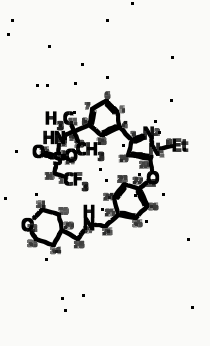 CCn1nc(-c2cccc(C(C)(C)NS(=O)(=O)CC(F)(F)F)c2)cc1Oc1ccc(CNCC2CCOCC2)cc1